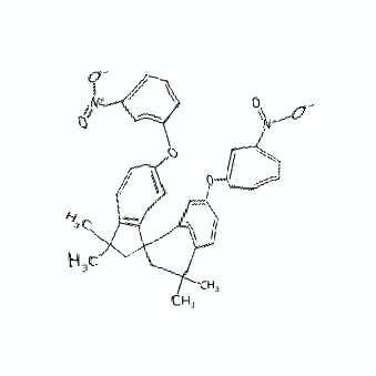 CC1(C)CC2(CC(C)(C)c3ccc(Oc4cccc([N+](=O)[O-])c4)cc32)c2cc(Oc3cccc([N+](=O)[O-])c3)ccc21